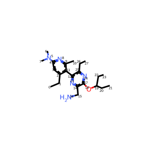 CCc1cc(N(C)C)nc(C)c1-c1nc(CN)c(OC(CC)CC)nc1CC